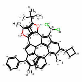 Cc1ccc(C2=Cc3c(ccc(C)c3-c3ccccc3)C2C2=c3c(cc(=[Si]4CCC4)c(C)c3-c3ccccc3)[C]([Zr]([Cl])[Cl])=C2c2ccc(C(C)(C)C)o2)o1